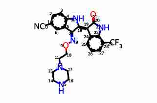 N#Cc1ccc2c(c1)C(=N\OCCN1CCNCC1)/C(=C1/C(=O)Nc3c1cccc3C(F)(F)F)N2